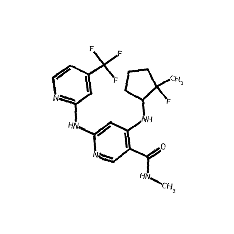 CNC(=O)c1cnc(Nc2cc(C(F)(F)F)ccn2)cc1NC1CCCC1(C)F